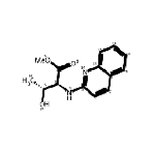 COC(=O)[C@@H](Nc1ccc2ccccc2n1)[C@@H](C)O